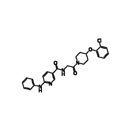 O=C(NCC(=O)N1CCC(Oc2ccccc2Cl)CC1)c1ccc(Nc2ccccc2)nc1